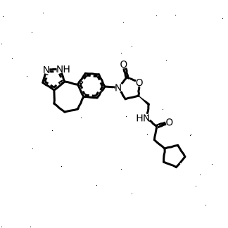 O=C(CC1CCCC1)NC[C@H]1CN(c2ccc3c(c2)CCCc2cn[nH]c2-3)C(=O)O1